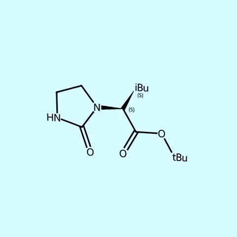 CC[C@H](C)[C@@H](C(=O)OC(C)(C)C)N1CCNC1=O